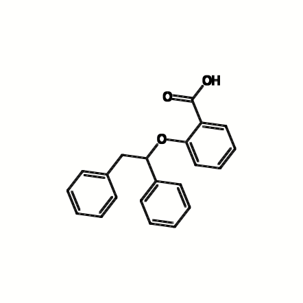 O=C(O)c1ccccc1OC(Cc1ccccc1)c1ccccc1